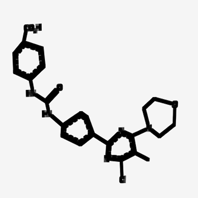 Cc1c(Cl)nc(-c2ccc(NC(=O)Nc3ccc(C(=O)O)cc3)cc2)nc1N1CCOCC1